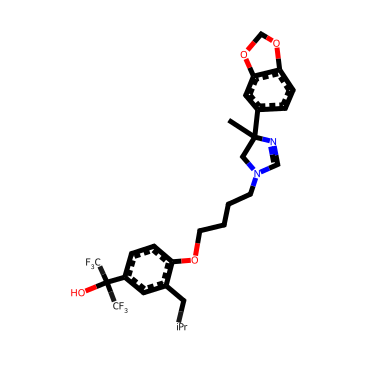 CC(C)Cc1cc(C(O)(C(F)(F)F)C(F)(F)F)ccc1OCCCCN1C=NC(C)(c2ccc3c(c2)OCO3)C1